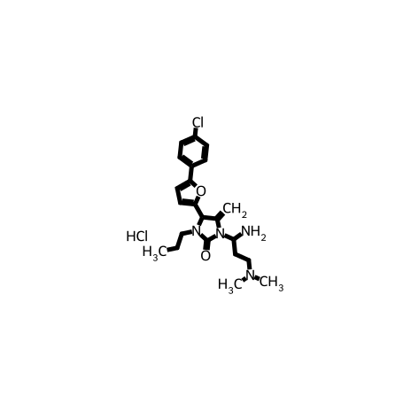 C=C1C(c2ccc(-c3ccc(Cl)cc3)o2)N(CCC)C(=O)N1C(N)CCN(C)C.Cl